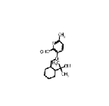 Cc1ccc(OCC2CCCCC2C(C)(C)O)c(C=O)n1